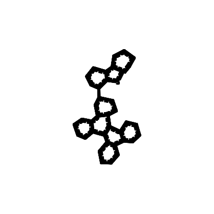 c1ccc2c(c1)sc1c(-c3ccc4c(c3)c3ccccc3c3c5ccccc5c5ccccc5c43)cccc12